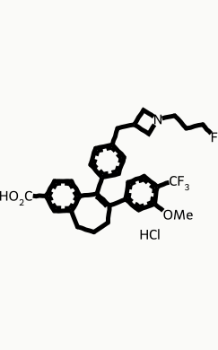 COc1cc(C2=C(c3ccc(CC4CN(CCCF)C4)cc3)c3ccc(C(=O)O)cc3CCC2)ccc1C(F)(F)F.Cl